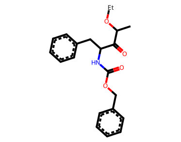 CCOC(C)C(=O)C(Cc1ccccc1)NC(=O)OCc1ccccc1